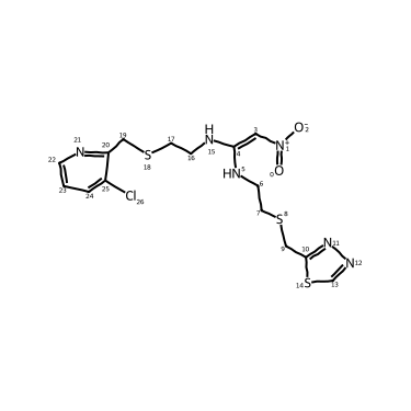 O=[N+]([O-])C=C(NCCSCc1nncs1)NCCSCc1ncccc1Cl